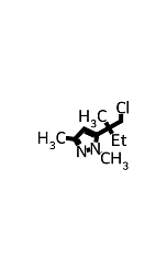 CCC(C)(CCl)c1cc(C)nn1C